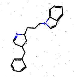 C1=NC(CCCn2ccc3ccccc32)CC(Cc2ccccc2)C1